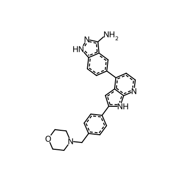 Nc1n[nH]c2ccc(-c3ccnc4[nH]c(-c5ccc(CN6CCOCC6)cc5)cc34)cc12